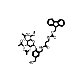 COC(=O)[C@H]1O[C@@H](Oc2ccc(CO)cc2CNC(=O)CCNC(=O)OCC2c3ccccc3-c3ccccc32)[C@H](OC(C)=O)[C@@H](OC(C)=O)[C@@H]1OC(C)=O